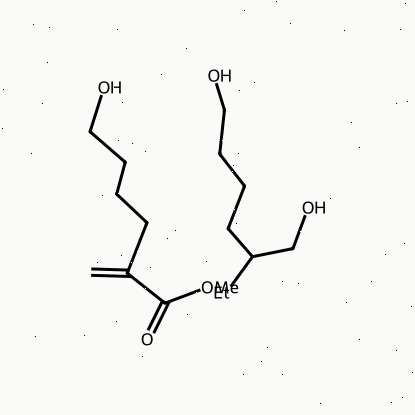 C=C(CCCCO)C(=O)OC.CCC(CO)CCCCO